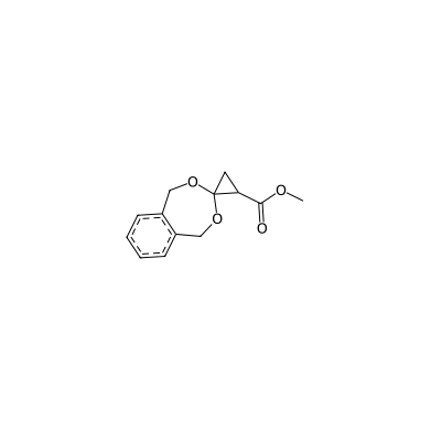 COC(=O)C1CC12OCc1ccccc1CO2